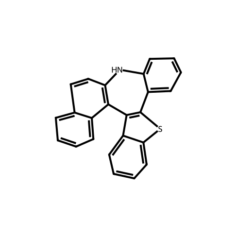 c1ccc2c(c1)Nc1ccc3ccccc3c1-c1c-2sc2ccccc12